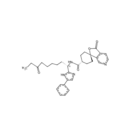 CCC(=O)CCCCC[C@H](NC(=O)[C@H]1CC[C@@]2(CC1)OC(=O)c1ccncc12)c1ncc(-c2ccccc2)[nH]1